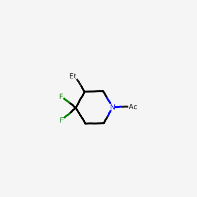 CCC1CN(C(C)=O)CCC1(F)F